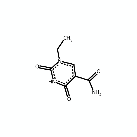 CCn1cc(C(N)=O)c(=O)[nH]c1=O